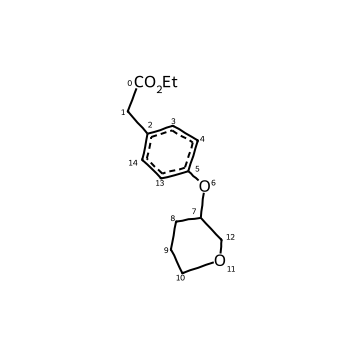 CCOC(=O)Cc1ccc(OC2CCCOC2)cc1